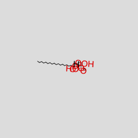 CCCCCCCCCCCCCCCCCC(=O)O[C@]1(O)CO[C@]2(CC3CO3)[C@@H](O)CO[C@@H]21